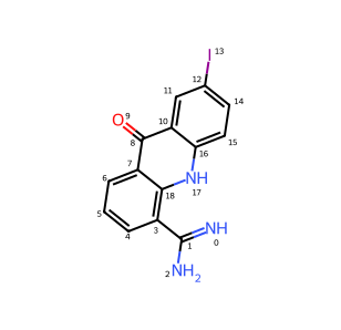 N=C(N)c1cccc2c(=O)c3cc(I)ccc3[nH]c12